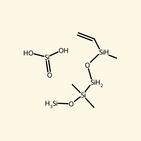 C=C[SiH](C)O[SiH2][Si](C)(C)O[SiH3].O=[Si](O)O